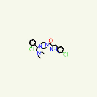 CCN(CC)CC(c1ccccc1Cl)N1CCN(C(=O)[C@H](N)Cc2ccc(Cl)cc2)CC1